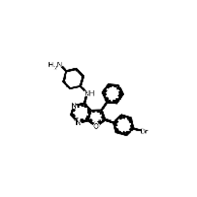 NC1CCC(Nc2ncnc3oc(-c4ccc(Br)cc4)c(-c4ccccc4)c23)CC1